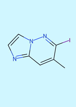 Cc1cc2nccn2nc1I